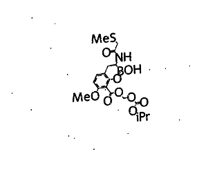 COc1ccc2c(c1C(=O)OCOC(=O)OC(C)C)OB(O)C(NC(=O)CSC)C2